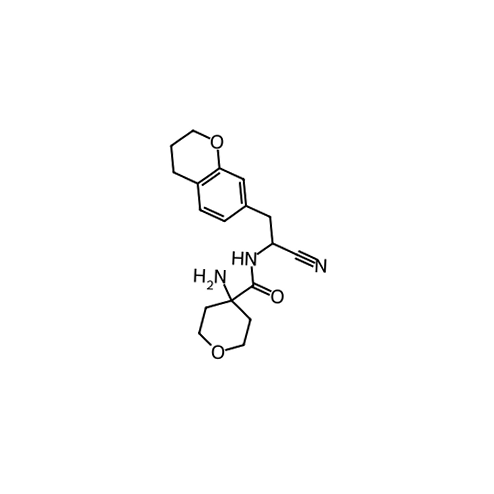 N#CC(Cc1ccc2c(c1)OCCC2)NC(=O)C1(N)CCOCC1